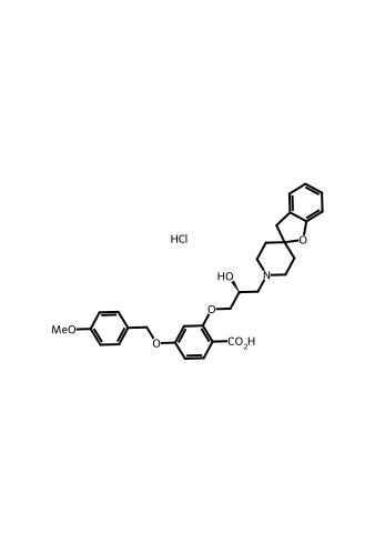 COc1ccc(COc2ccc(C(=O)O)c(OC[C@@H](O)CN3CCC4(CC3)Cc3ccccc3O4)c2)cc1.Cl